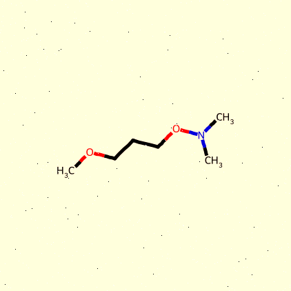 COCCCON(C)C